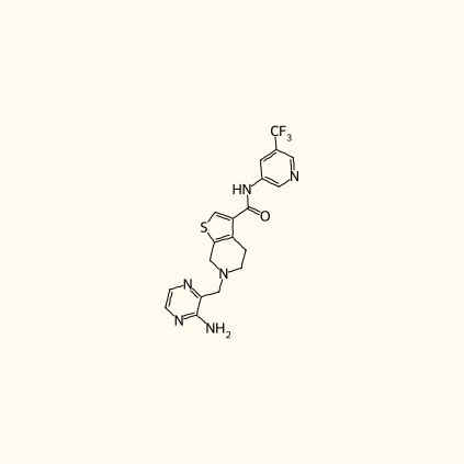 Nc1nccnc1CN1CCc2c(C(=O)Nc3cncc(C(F)(F)F)c3)csc2C1